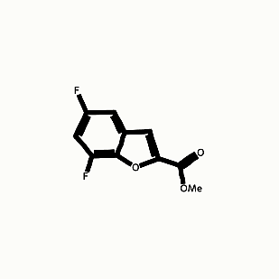 COC(=O)c1cc2cc(F)cc(F)c2o1